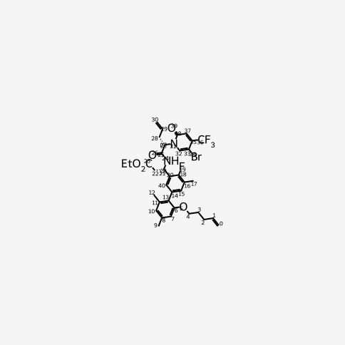 C=CCCCOc1cc(C)cc(C)c1-c1cc(C)c(F)c([C@H](CC(=O)OCC)NC(=O)[C@H](CC=C)n2cc(Br)c(C(F)(F)F)cc2=O)c1